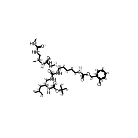 CNC(=O)NC[C@H](C)NC(=O)NC[C@H](CCCCNC(=O)OCc1ccccc1Cl)NC(=O)NC[C@H](CC(C)C)NC(=O)OC(C)(C)C